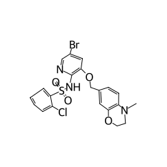 CN1CCOc2cc(COc3cc(Br)cnc3NS(=O)(=O)c3ccccc3Cl)ccc21